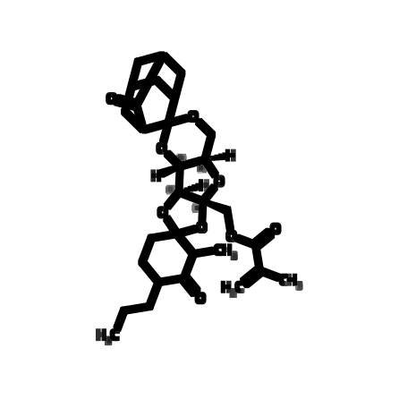 C=C(C)C(=O)OC[C@]12O[C@@H]3COC4(O[C@H]3[C@@H]1OC1(CCC(CCC)C(=O)C1C)O2)C1CC2CC(C1)C(=O)C4C2